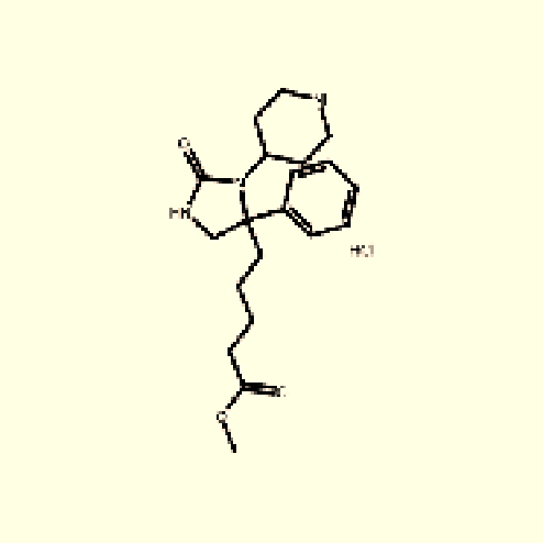 COC(=O)CCCCC1(c2ccccc2)CNC(=O)N1C1CCNCC1.Cl